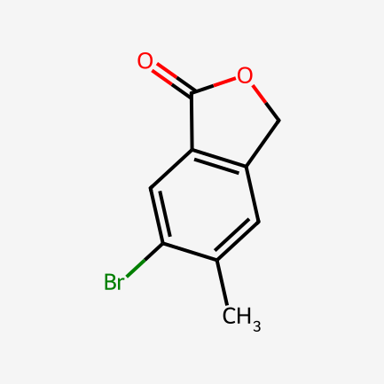 Cc1cc2c(cc1Br)C(=O)OC2